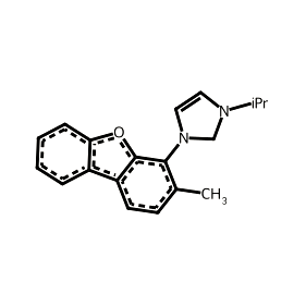 Cc1ccc2c(oc3ccccc32)c1N1C=CN(C(C)C)C1